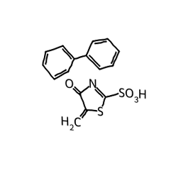 C=C1SC(S(=O)(=O)O)=NC1=O.c1ccc(-c2ccccc2)cc1